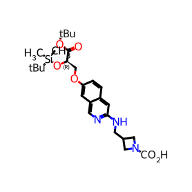 CC(C)(C)OC(=O)[C@@H](COc1ccc2cc(NCC3CN(C(=O)O)C3)ncc2c1)O[Si](C)(C)C(C)(C)C